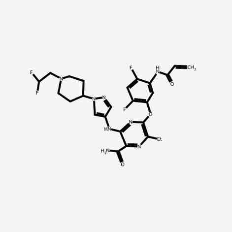 C=CC(=O)Nc1cc(Oc2nc(Nc3cnn(C4CCN(CC(F)F)CC4)c3)c(C(N)=O)nc2CC)c(F)cc1F